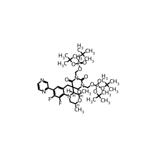 C[C@H]1CN2c3c(cc(-c4cnccn4)c(F)c3F)CC3(C(=O)N(COP(=O)(OC(C)(C)C)OC(C)(C)C)C(=O)N(COP(=O)(OC(C)(C)C)OC(C)(C)C)C3=O)[C@@H]2[C@@H](C)O1